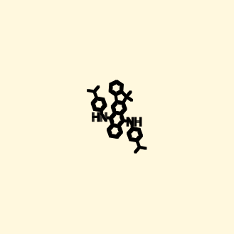 CC(C)c1ccc(Nc2c3ccccc3c(Nc3ccc(C(C)C)cc3)c3cc4c(cc23)-c2ccccc2C4(C)C)cc1